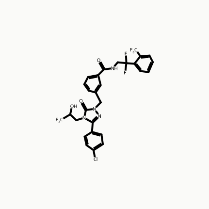 O=C(NCC(F)(F)c1ccccc1C(F)(F)F)c1cccc(Cn2nc(-c3ccc(Cl)cc3)n(CC(O)C(F)(F)F)c2=O)c1